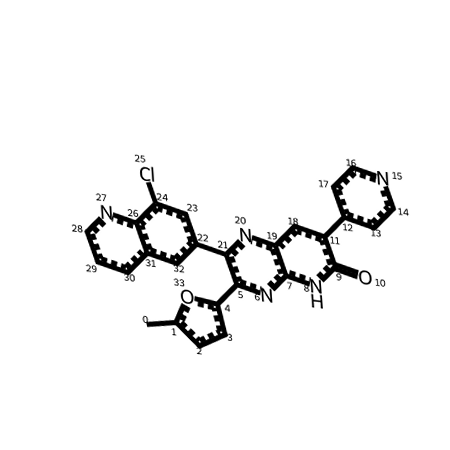 Cc1ccc(-c2nc3[nH]c(=O)c(-c4ccncc4)cc3nc2-c2cc(Cl)c3ncccc3c2)o1